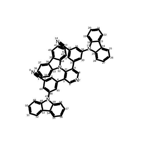 N#Cc1cc(-c2cncc(-c3cc(C#N)cc(-n4c5ccccc5c5ccccc54)c3)c2-n2c3ccccc3c3ccccc32)cc(-n2c3ccccc3c3ccccc32)c1